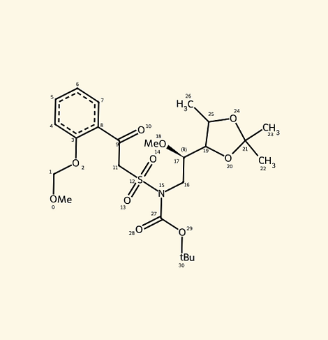 COCOc1ccccc1C(=O)CS(=O)(=O)N(C[C@@H](OC)C1OC(C)(C)OC1C)C(=O)OC(C)(C)C